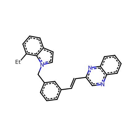 [CH2]Cc1cccc2ccn(Cc3cccc(/C=C/c4cnc5ccccc5n4)c3)c12